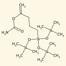 C=C(CCC[Si](O[Si](C)(C)C)(O[Si](C)(C)C)O[Si](C)(C)C)OC(N)=O